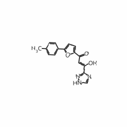 Cc1ccc(-c2ccc(C(=O)C=C(O)c3nc[nH]n3)o2)cc1